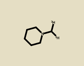 [2H]C([2H])N1CCCCC1